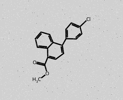 COC(=O)c1ccc(-c2ccc(Cl)cc2)c2ccccc12